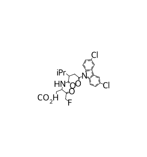 CC(C)C(CC(=O)n1c2ccc(Cl)cc2c2cc(Cl)ccc21)C(=O)NC(CC(=O)O)C(=O)CF